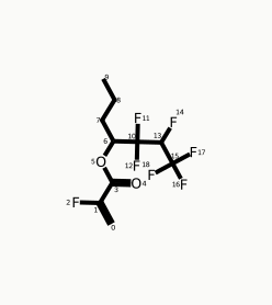 C=C(F)C(=O)OC(CCC)C(F)(F)C(F)C(F)(F)F